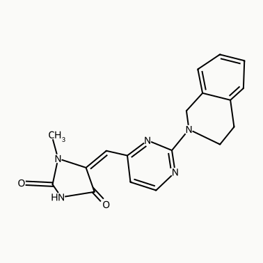 CN1C(=O)NC(=O)/C1=C\c1ccnc(N2CCc3ccccc3C2)n1